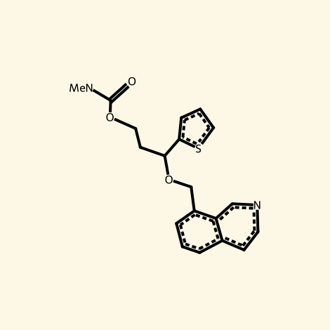 CNC(=O)OCCC(OCc1cccc2ccncc12)c1cccs1